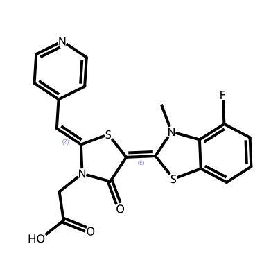 CN1/C(=c2\s/c(=C\c3ccncc3)n(CC(=O)O)c2=O)Sc2cccc(F)c21